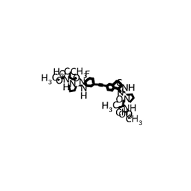 COC(=O)N[C@H](C(=O)N1CCC[C@H]1c1nc2c(F)cc(C#Cc3ccc4c(ccc5[nH]c([C@@H]6CCCN6C(=O)[C@@H](NC(=O)OC)C(C)C)nc54)c3)cc2[nH]1)C(C)C